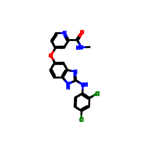 CNC(=O)c1cc(Oc2ccc3[nH]c(Nc4ccc(Cl)cc4Cl)nc3c2)ccn1